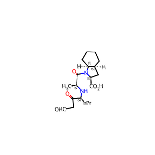 CCC[C@H](N[C@@H](C)C(=O)N1[C@H](C(=O)O)C[C@@H]2CCCC[C@@H]21)C(=O)CC=O